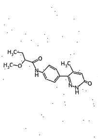 CCC(OC)C(=O)Nc1ccc(-c2n[nH]c(=O)cc2C)cc1